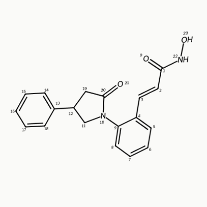 O=C(C=Cc1ccccc1N1CC(c2ccccc2)CC1=O)NO